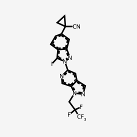 N#CC1(c2ccc3c(I)n(-c4cc5cnn(CC(F)(F)C(F)(F)F)c5cn4)nc3c2)CC1